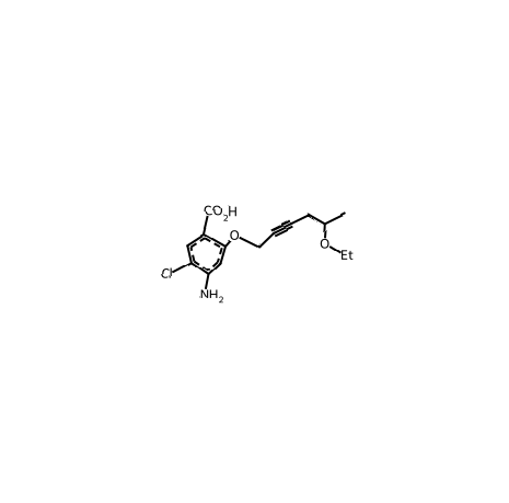 CCOC(C)CC#CCOc1cc(N)c(Cl)cc1C(=O)O